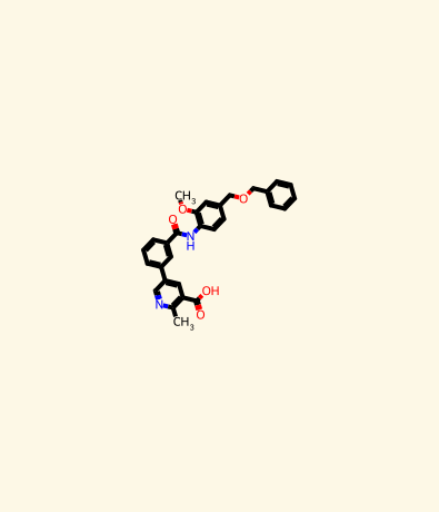 COc1cc(COCc2ccccc2)ccc1NC(=O)c1cccc(-c2cnc(C)c(C(=O)O)c2)c1